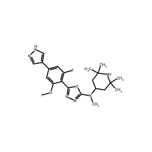 CN(c1nnc(-c2c(F)cc(-c3cn[nH]c3)cc2OI)s1)C1CC(C)(C)NC(C)(C)C1